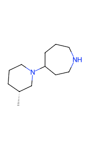 C[C@@H]1CCCN(C2CCCNCC2)C1